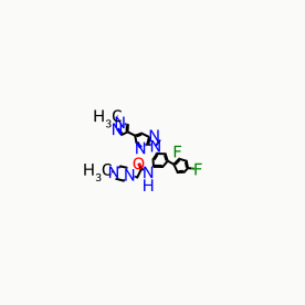 CN1CCN(CC(=O)Nc2cc(-c3ccc(F)cc3F)cc(-n3cnc4cc(-c5cnn(C)c5)cnc43)c2)CC1